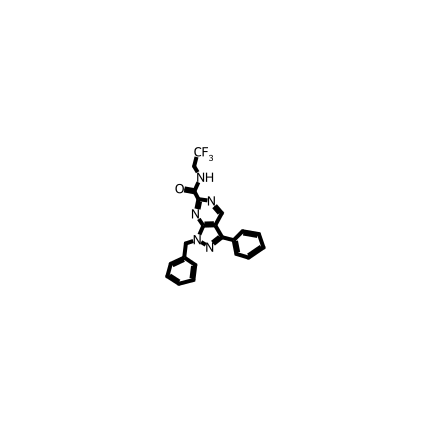 O=C(NCC(F)(F)F)c1ncc2c(-c3ccccc3)nn(Cc3ccccc3)c2n1